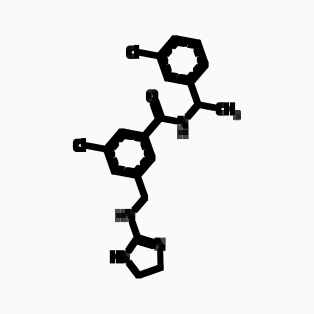 CC(NC(=O)c1cc(Cl)cc(CNC2=NCCN2)c1)c1cccc(Cl)c1